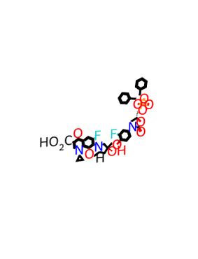 O=C(O)c1cn(C2CC2)c2c3c(c(F)cc2c1=O)N1C[C@](O)(COc2ccc(N4C[C@H](COP(=O)(OCc5ccccc5)OCc5ccccc5)OC4=O)cc2F)C[C@H]1CO3